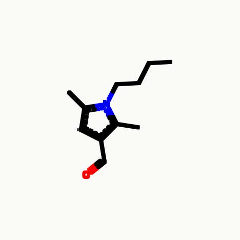 CCCCn1c(C)[c]c(C=O)c1C